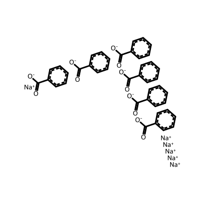 O=C([O-])c1ccccc1.O=C([O-])c1ccccc1.O=C([O-])c1ccccc1.O=C([O-])c1ccccc1.O=C([O-])c1ccccc1.O=C([O-])c1ccccc1.[Na+].[Na+].[Na+].[Na+].[Na+].[Na+]